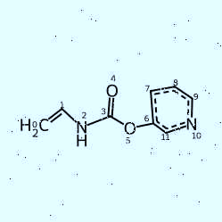 C=CNC(=O)Oc1cccnc1